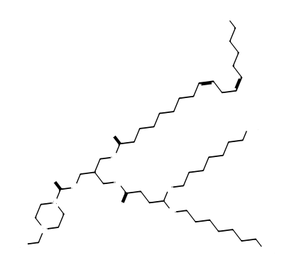 CCCCC/C=C\C/C=C\CCCCCCCC(=O)OCC(COC(=O)CCC(OCCCCCCCC)OCCCCCCCC)COC(=O)N1CCN(CC)CC1